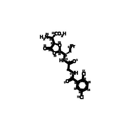 CC(C)C[C@H](NC(=O)CNC(=O)c1cc(Cl)ccc1Cl)B1OC(=O)[C@@H]([C@@H](N)C(=O)O)O1